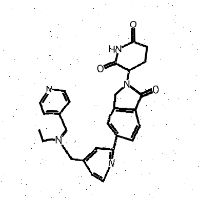 CCN(Cc1ccncc1)Cc1ccnc(-c2ccc3c(c2)CN(C2CCC(=O)NC2=O)C3=O)c1